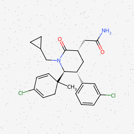 CC1([C@@H]2[C@@H](c3cccc(Cl)c3)C[C@@H](CC(N)=O)C(=O)N2CC2CC2)C=CC(Cl)=CC1